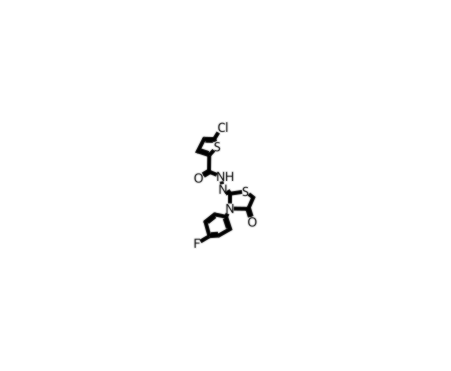 O=C(N/N=C1\SCC(=O)N1c1ccc(F)cc1)c1ccc(Cl)s1